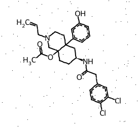 C=CCN1CCC2(c3cccc(O)c3)C[C@@H](NC(=O)Cc3ccc(Cl)c(Cl)c3)CCC2(OC(C)=O)C1